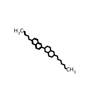 CC=CCCc1ccc2cc(C3CCC4CC(CCCCCCC)CCC4C3)ccc2c1